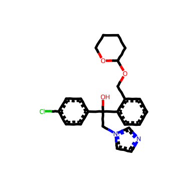 OC(Cn1ccnc1)(c1ccc(Cl)cc1)c1ccccc1COC1CCCCO1